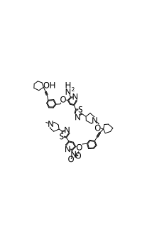 CN1CCC(c2ncc(-c3cnc([N+](=O)[O-])c(OCc4cccc(C#CC5(OCN6CCC(c7ncc(-c8cnc(N)c(OCc9cccc(C#CC%10(O)CCCCC%10)c9)c8)s7)CC6)CCCCC5)c4)c3)s2)CC1